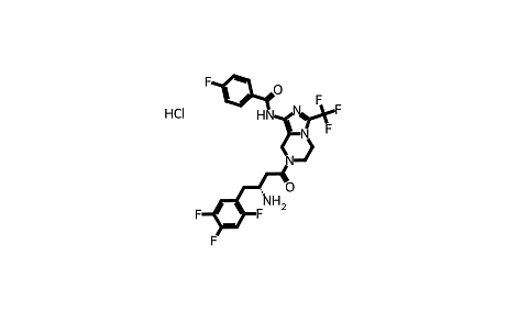 Cl.N[C@@H](CC(=O)N1CCn2c(C(F)(F)F)nc(NC(=O)c3ccc(F)cc3)c2C1)Cc1cc(F)c(F)cc1F